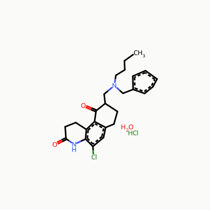 CCCCN(Cc1ccccc1)CC1CCc2cc(Cl)c3c(c2C1=O)CCC(=O)N3.Cl.O